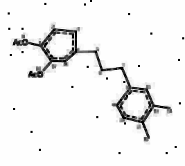 CC(=O)Oc1ccc(CCCc2ccc(C)c(C)c2)cc1OC(C)=O